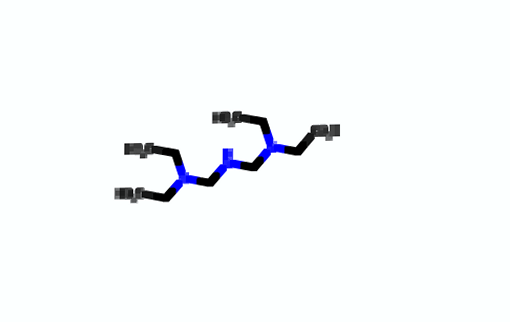 O=C(O)CN(CNCN(CC(=O)O)CC(=O)O)CC(=O)O